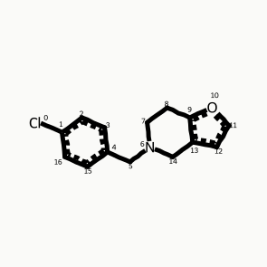 Clc1ccc(CN2CCc3occc3C2)cc1